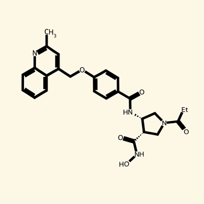 CCC(=O)N1C[C@H](C(=O)NO)[C@H](NC(=O)c2ccc(OCc3cc(C)nc4ccccc34)cc2)C1